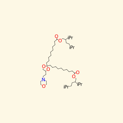 CC(C)CCC(COC(=O)CCCCCCCCCC1(CCCCCCCCCC(=O)OCC(CCC(C)C)C(C)C)OCC(CCN2CCOCC2)O1)C(C)C